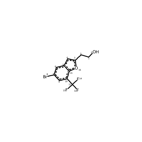 OCCc1cc2cc(Br)cc(C(F)(F)F)c2o1